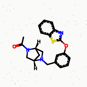 CC(=O)N1C[C@@H]2C[C@H]1CN2Cc1cccc(Oc2nc3ccccc3s2)c1